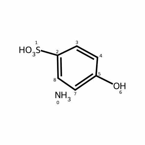 N.O=S(=O)(O)c1ccc(O)cc1